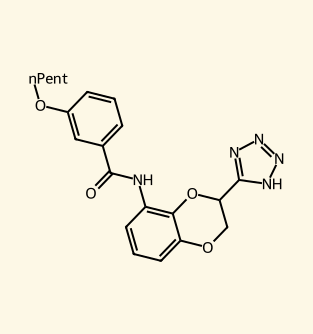 CCCCCOc1cccc(C(=O)Nc2cccc3c2OC(c2nnn[nH]2)CO3)c1